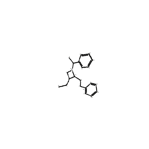 CCC1CN(C(C)c2ccccc2)C1CCc1ccccc1